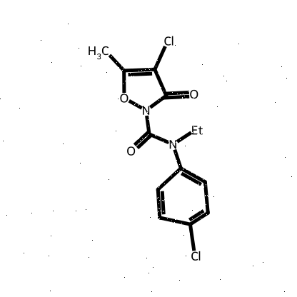 CCN(C(=O)n1oc(C)c(Cl)c1=O)c1ccc(Cl)cc1